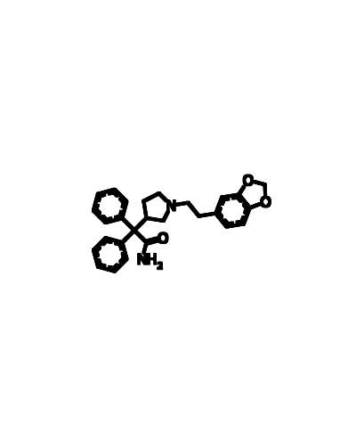 NC(=O)C(c1ccccc1)(c1ccccc1)C1CCN(CCc2ccc3c(c2)OCO3)C1